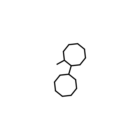 CC1CCCCCC[C]1[C]1CCCCCCC1